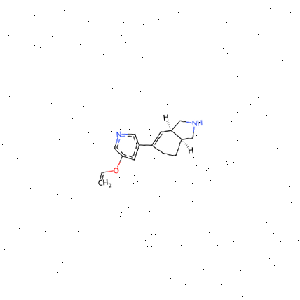 C=COc1cncc(C2=C[C@H]3CNC[C@H]3CC2)c1